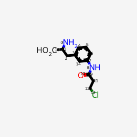 NC(Cc1cccc(NC(=O)CCCl)c1)C(=O)O